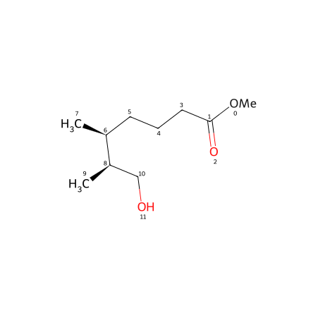 COC(=O)CCC[C@H](C)[C@H](C)CO